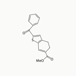 COC(=O)C1=Cc2sc(C(=O)c3ccccc3)cc2CC1